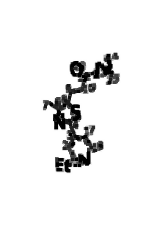 CCc1cc(-c2nc(C)c(C=CC(=O)N(C)C)s2)ccn1